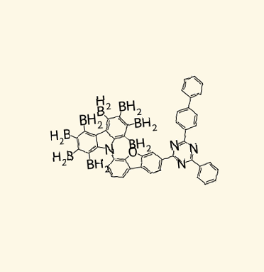 Bc1c(B)c(B)c2c(c1B)c1c(B)c(B)c(B)c(B)c1n2-c1cccc2c1oc1cc(-c3nc(-c4ccccc4)nc(-c4ccc(-c5ccccc5)cc4)n3)ccc12